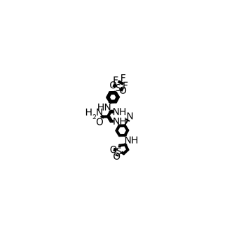 N#C[C@H]1CC(NC2CCS(=O)(=O)C2)CC[C@@H]1N/C=C(\C(=N)Nc1ccc(S(=O)(=O)C(F)(F)F)cc1)C(N)=O